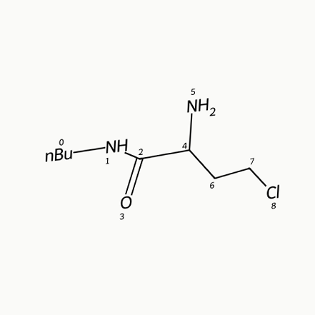 CCCCNC(=O)C(N)CCCl